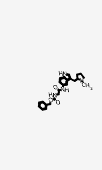 CN1CCCC1Cc1c[nH]c2ccc(NC(=O)CNC(=O)OCc3ccccc3)cc12